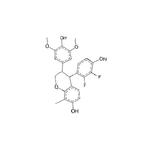 COc1cc(C2COc3c(ccc(O)c3C)C2c2ccc(O)c(F)c2F)cc(OC)c1O